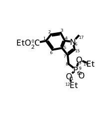 CCOC(=O)c1ccc2c(c1)c(CP(=O)(OCC)OCC)cn2C